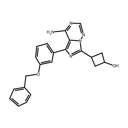 Nc1ncnn2c(C3CC(O)C3)nc(-c3cccc(OCc4ccccc4)c3)c12